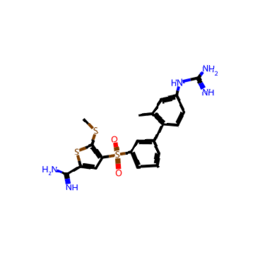 CSc1sc(C(=N)N)cc1S(=O)(=O)c1cccc(-c2ccc(NC(=N)N)cc2C)c1